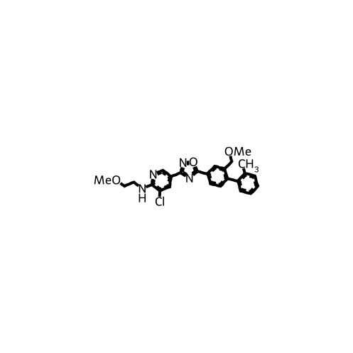 COCCNc1ncc(-c2noc(-c3ccc(-c4ccccc4C)c(COC)c3)n2)cc1Cl